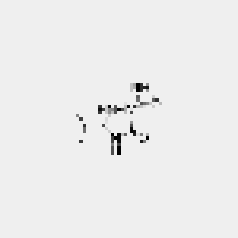 CC(C)C1NC(=O)N(C(N)=O)N1